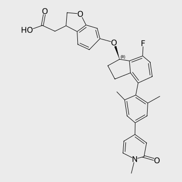 Cc1cc(-c2ccn(C)c(=O)c2)cc(C)c1-c1ccc(F)c2c1CC[C@H]2Oc1ccc2c(c1)OCC2CC(=O)O